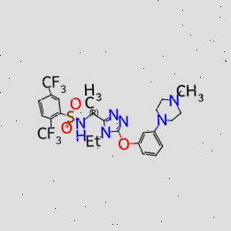 CCn1c(Oc2cccc(N3CCN(C)CC3)c2)nnc1[C@@H](C)NS(=O)(=O)c1cc(C(F)(F)F)ccc1C(F)(F)F